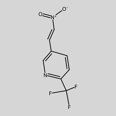 O=[N+]([O-])/C=C/c1ccc(C(F)(F)F)nc1